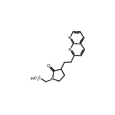 O=C(O)CN1CCC(CCc2ccc3cccnc3n2)C1=O